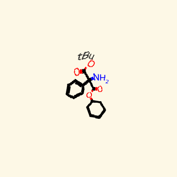 CC(C)(C)OC(=O)C(N)(C(=O)OC1CCCCC1)c1ccccc1